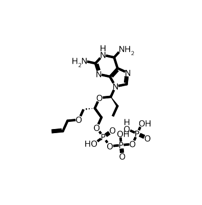 C=CCOC[C@@H](COP(=O)(O)OP(=O)(O)OP(=O)(O)O)O[C@H](CC)n1cnc2c1N=C(N)NC2N